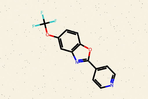 FC(F)(F)Oc1ccc2oc(-c3ccncc3)nc2c1